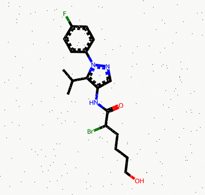 CC(C)c1c(NC(=O)C(Br)CCCCO)cnn1-c1ccc(F)cc1